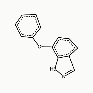 B1N=Cc2cccc(Oc3ccccc3)c21